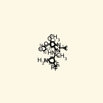 COc1cc2nc(C3CC3)nc(N[C@H](C)c3cc(N)cc(C(F)(F)F)c3)c2cc1OC1CCOC1